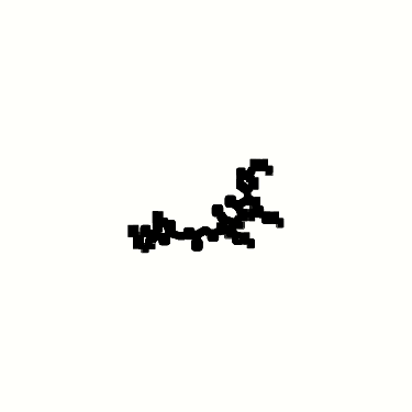 CON=C(C(=O)N[C@@H]1C(=O)N(OCC(=O)OCC(=O)OC(C)(C)C)[C@H]1C)c1csc(N)n1